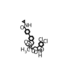 CN(C(=O)CC1C(=O)NOc2cc(Cl)c(Cl)cc21)[N+]1(CCc2ccc(-c3ccc(C(=O)NC4CC4)cc3)cc2)CCOCC1